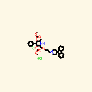 COC(=O)OC1=C(C)NC(COCCCN2CCC(c3ccccc3)(c3ccccc3)CC2)=C(OC(=O)OC)C1c1ccccc1Cl.Cl